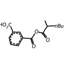 CCCCC(C)C(=O)OC(=O)c1cccc(C(=O)O)c1